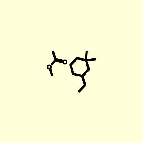 CCC1CCCC(C)(C)C1.COC(C)=O